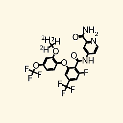 [2H]C([2H])([2H])Oc1cc(OC(F)(F)F)ccc1Oc1cc(C(F)(F)F)cc(F)c1C(=O)Nc1ccnc(C(N)=O)c1